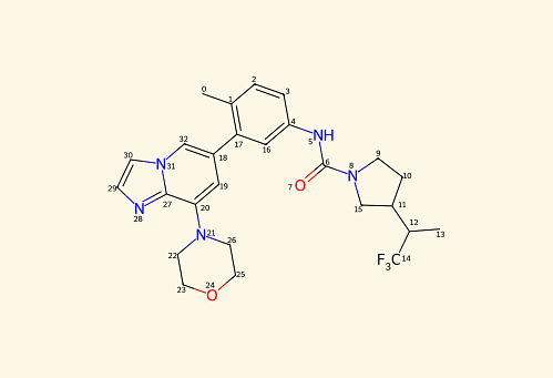 Cc1ccc(NC(=O)N2CCC(C(C)C(F)(F)F)C2)cc1-c1cc(N2CCOCC2)c2nccn2c1